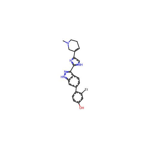 CCc1cc(O)ccc1-c1ccc2c(-c3nc(C4=CCCN(C)C4)c[nH]3)n[nH]c2c1